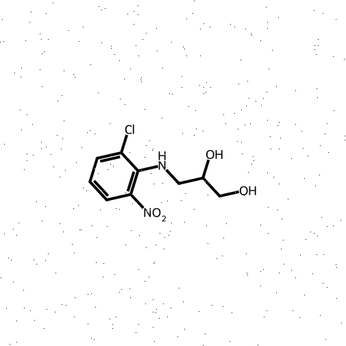 O=[N+]([O-])c1cccc(Cl)c1NCC(O)CO